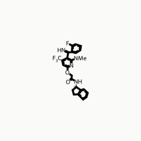 CNc1nc(OCC(=O)N[C@H]2CCc3ccccc32)cc(C(F)(F)F)c1C(=N)c1ccccc1F